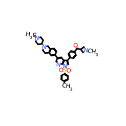 Cc1ccc(S(=O)(=O)n2cc(-c3ccc(C(=O)C4CN(C)C4)cc3)c3cc(-c4ccc5c(c4)CCN(C4CCN(C)CC4)C5)cnc32)cc1